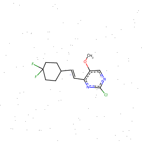 COc1cnc(Cl)nc1/C=C/C1CCC(F)(F)CC1